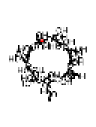 C=CC(=O)NCC1OC2OC(CCO)/C(O)=C(\O)C(O)OC(CCO)/C(O)=C(/O)C(O)OC3C(CO)OC(OC(CCO)/C(O)=C(\O)C(O)OC(CCO)/C(O)=C(/O)C(O)OC(CCO)/C(O)=C(/O)C(O)OC1C(O)C2O)C(O)C3O